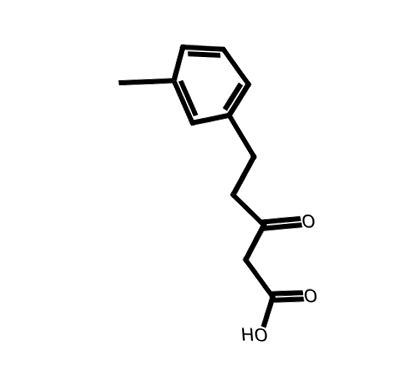 Cc1cccc(CCC(=O)CC(=O)O)c1